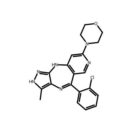 Cc1[nH]nc2c1N=C(c1ccccc1Cl)c1cnc(N3CCOCC3)cc1N2